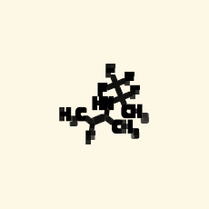 C/C(F)=C(/C)NC(C)(F)C(F)(F)F